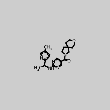 Cc1ccc(C(C)Nc2ncc(C(=O)N3CCC4(CCOCC4)C3)cn2)nc1